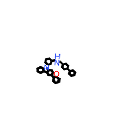 C1=CC(CNCC2=CCC(c3ccccc3)C=C2)CC(n2c3ccccc3c3cc4c(cc32)oc2ccccc24)=C1